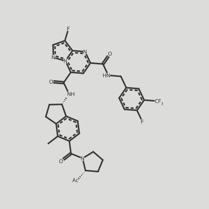 CC(=O)[C@H]1CCCN1C(=O)c1ccc2c(c1C)CC[C@@H]2NC(=O)c1cc(C(=O)NCc2ccc(F)c(C(F)(F)F)c2)nc2c(F)cnn12